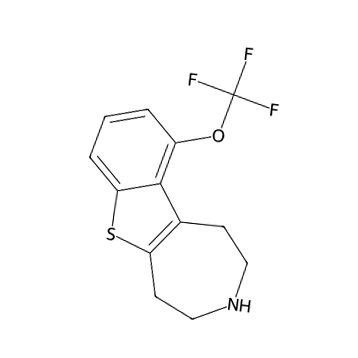 FC(F)(F)Oc1cccc2sc3c(c12)CCNCC3